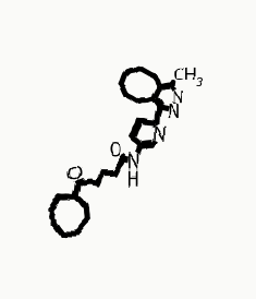 Cc1nnc(-c2ccc(NC(=O)CCCC(=O)C3CCCCCCC3)cn2)c2c1CCCCCC2